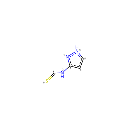 S=CNc1cc[nH]n1